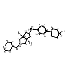 FC1(F)CCN(c2ccc(N[C@H]3C[C@@H]4CN(CC5CCOCC5)C[C@@H]4C3)nn2)CC1